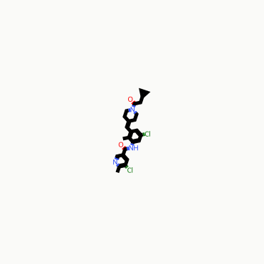 Cc1ncc(C(=O)Nc2cc(Cl)cc(C=C3CCN(C(=O)CC4CC4)CC3)c2C)cc1Cl